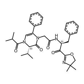 CC(C)C(=O)N1C=C(c2ccccc2)N(CC(=O)N[C@@H](Cc2ccccc2)C(=O)C2=NC(C)(C)CO2)C(=O)[C@@H]1C(C)C